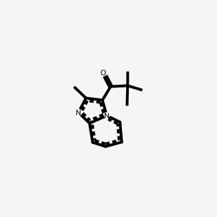 Cc1nc2ccccn2c1C(=O)C(C)(C)C